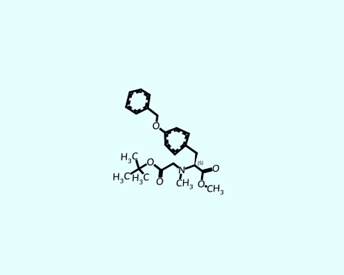 COC(=O)[C@H](Cc1ccc(OCc2ccccc2)cc1)N(C)CC(=O)OC(C)(C)C